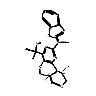 CSC(C)(C)c1nc(N(C)c2nc3ccccc3[nH]2)nc2c1OC[C@@H]1COC[C@@H](C)N21